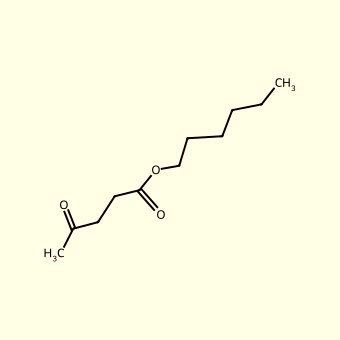 CCCCCCOC(=O)CCC(C)=O